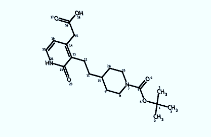 CC(C)(C)OC(=O)N1CCC(CCc2c(CC(=O)O)cc[nH]c2=O)CC1